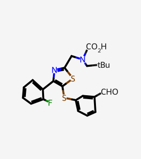 CC(C)(C)CN(Cc1nc(-c2ccccc2F)c(Sc2cccc(C=O)c2)s1)C(=O)O